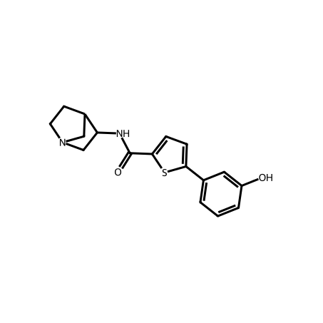 O=C(NC1CN2CCC1C2)c1ccc(-c2cccc(O)c2)s1